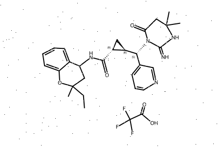 CCC1(C)CC(NC(=O)[C@@H]2C[C@H]2[C@@H](c2cccnc2)N2C(=N)NC(C)(C)CC2=O)c2ccccc2O1.O=C(O)C(F)(F)F